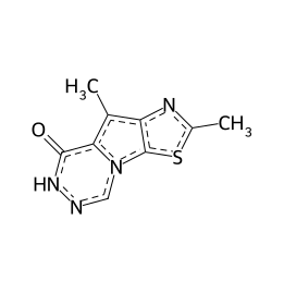 Cc1nc2c(C)c3c(=O)[nH]ncn3c2s1